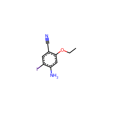 CCOc1cc(N)c(I)cc1C#N